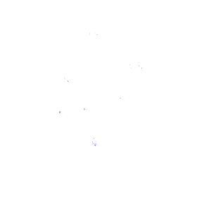 CC(=O)NCCc1ccccc1-c1onc([C@H]2CN(C(=O)OC(C)(C)C)CC[C@]2(O)c2ccc(F)c(F)c2)c1C(C)=O